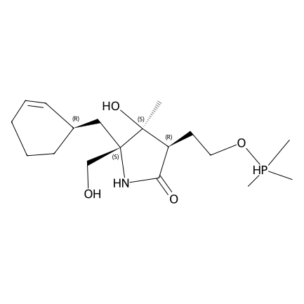 C[C@]1(O)[C@@H](CCO[PH](C)(C)C)C(=O)N[C@]1(CO)C[C@@H]1C=CCCC1